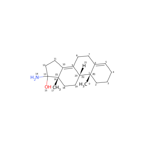 C[C@]12CCCC=C1CCC1=C3CCC(N)(O)[C@@]3(C)CC[C@H]12